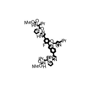 COC(=O)NC(C(=O)N1CCC[C@H]1c1ncc(-c2cc(F)c3c(c2)OC(c2cc(C(C)C)no2)n2c-3cc3cc(-c4cnc([C@@H]5CCCN5C(=O)C(NC(=O)OC)C(C)C)[nH]4)ccc32)[nH]1)C(C)C